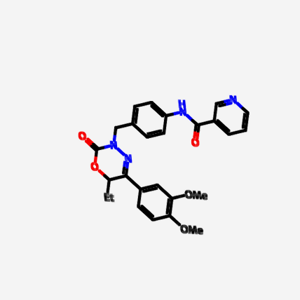 CCC1OC(=O)N(Cc2ccc(NC(=O)c3cccnc3)cc2)N=C1c1ccc(OC)c(OC)c1